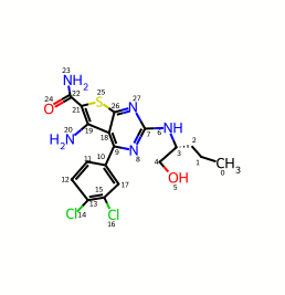 CCC[C@H](CO)Nc1nc(-c2ccc(Cl)c(Cl)c2)c2c(N)c(C(N)=O)sc2n1